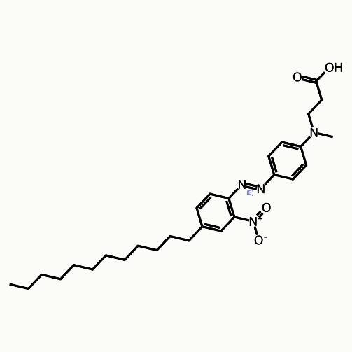 CCCCCCCCCCCCc1ccc(/N=N/c2ccc(N(C)CCC(=O)O)cc2)c([N+](=O)[O-])c1